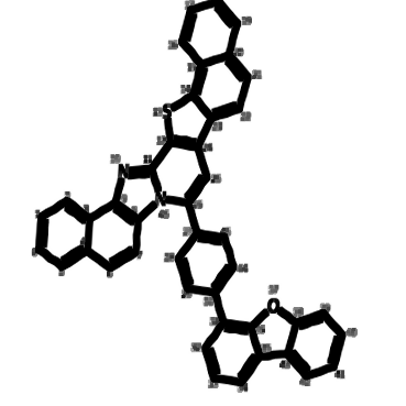 c1ccc2c(c1)ccc1c2nc2c3sc4c5ccccc5ccc4c3cc(-c3ccc(-c4cccc5c4oc4ccccc45)cc3)n12